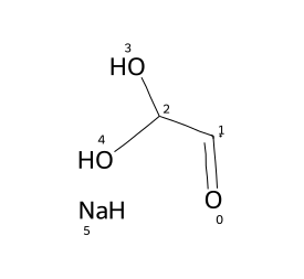 O=[C]C(O)O.[NaH]